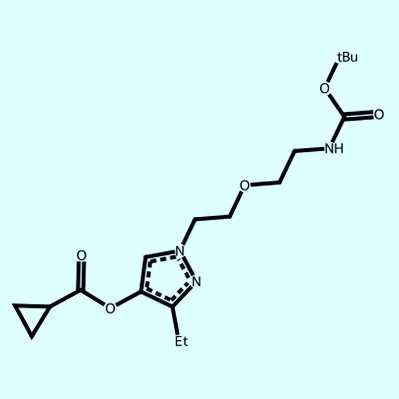 CCc1nn(CCOCCNC(=O)OC(C)(C)C)cc1OC(=O)C1CC1